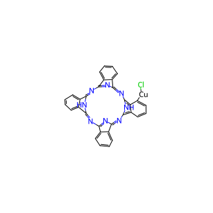 [Cl][Cu][c]1cccc2c3nc4nc(nc5[nH]c(nc6nc(nc([nH]3)c12)-c1ccccc1-6)c1ccccc51)-c1ccccc1-4